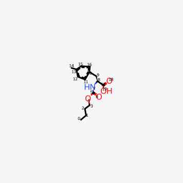 CCCCOC(=O)N[C@@H](Cc1ccc(C)cc1)C(=O)O